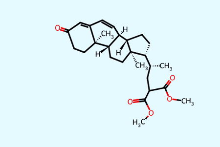 COC(=O)C(C[C@@H](C)[C@H]1CC[C@H]2[C@@H]3C=CC4=CC(=O)CC[C@]4(C)[C@H]3CC[C@]12C)C(=O)OC